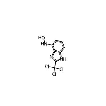 ONc1cccc2[nH]c(C(Cl)(Cl)Cl)nc12